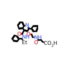 CCC(NC(=O)c1c(OCCNC(=O)CCC(=O)O)c(-c2ccccc2)nc2ccccc12)c1ccccc1